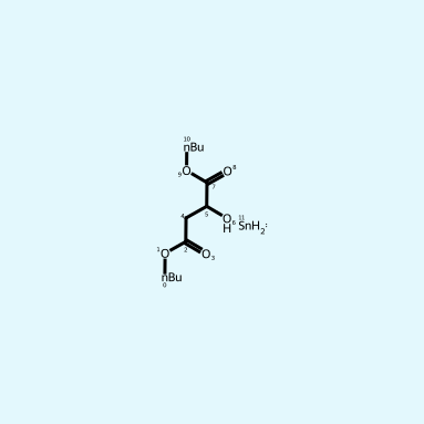 CCCCOC(=O)CC(O)C(=O)OCCCC.[SnH2]